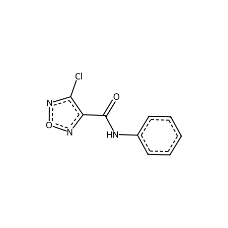 O=C(Nc1ccccc1)c1nonc1Cl